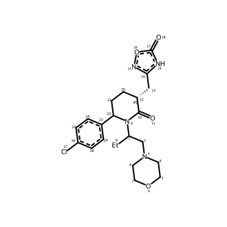 CCC(CN1CCOCC1)N1C(=O)[C@@H](Cc2noc(=O)[nH]2)CCC1c1ccc(Cl)cc1